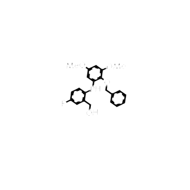 COc1cc(OC)c(OCc2ccccc2)c(Pc2ccc(F)cc2CO)c1